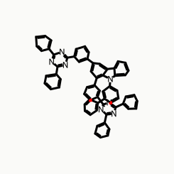 c1ccc(-c2cccc(-n3c4ccccc4c4cc(-c5cccc(-c6nc(-c7ccccc7)nc(-c7ccccc7)n6)c5)cc(-c5cccc(-c6nc(-c7ccccc7)nc(-c7ccccc7)n6)c5)c43)c2)cc1